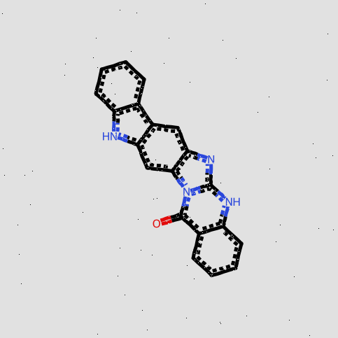 O=c1c2ccccc2[nH]c2nc3cc4c(cc3n12)[nH]c1ccccc14